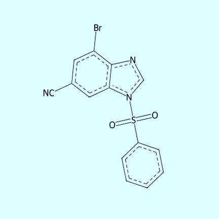 N#Cc1cc(Br)c2ncn(S(=O)(=O)c3ccccc3)c2c1